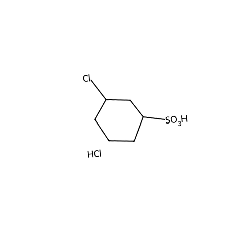 Cl.O=S(=O)(O)C1CCCC(Cl)C1